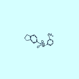 Cc1cccc(NS(=O)(=O)c2ccc3c(c2)CCC3)c1